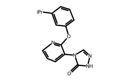 CC(C)c1cccc(Oc2ncccc2-n2cn[nH]c2=O)c1